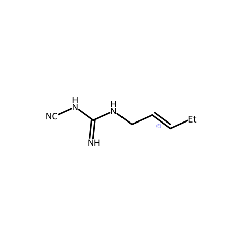 CC/C=C/CNC(=N)NC#N